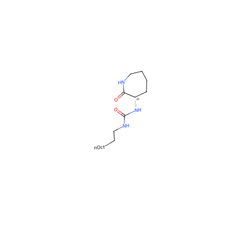 CCCCCCCCCCNC(=O)N[C@H]1CCCCNC1=O